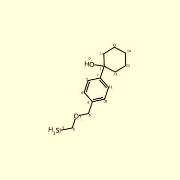 OC1(c2ccc(COC[SiH3])cc2)CCCCC1